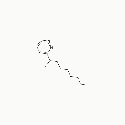 CCCCCCCC(C)c1cccnn1